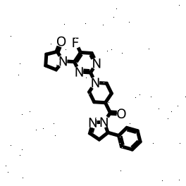 O=C1CCCN1c1nc(N2CCC(C(=O)N3N=CCC3c3ccccc3)CC2)ncc1F